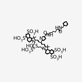 CC1(C)C(=CC=C(/C=C/C2N(CCCS(=O)(=O)O)c3ccc4c(S(=O)(=O)O)cc(S(=O)(=O)O)cc4c3C2(C)C)c2ccc(C(=O)NCCCCCC(=O)NCc3ccccc3)cn2)N(CCCS(=O)(=O)O)c2ccc3c(S(=O)(=O)O)cc(S(=O)(=O)O)cc3c21